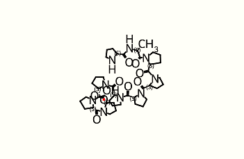 C[C@H](NC(=O)[C@@H]1CCCN1)C(=O)N1CCC[C@H]1C(=O)N1CCC[C@H]1C(=O)N1CCC[C@H]1C(=O)N1CCC[C@H]1C(=O)N1CCC[C@H]1C(=O)N1CCC[C@H]1C(=O)N1CCC[C@H]1C(=O)O